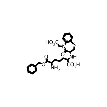 NC(CCCC(N[C@H]1CSc2ccccc2N(CC(=O)O)C1=O)C(=O)O)C(=O)OCc1ccccc1